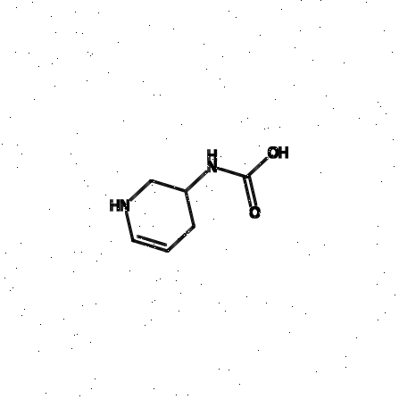 O=C(O)NC1CC=CNC1